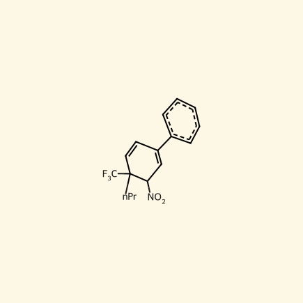 CCCC1(C(F)(F)F)C=CC(c2ccccc2)=CC1[N+](=O)[O-]